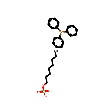 CCCCCCCCOS(=O)(=O)[O-].c1ccc([S+](c2ccccc2)c2ccccc2)cc1